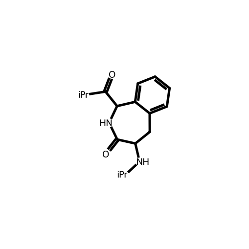 CC(C)NC1Cc2ccccc2C(C(=O)C(C)C)NC1=O